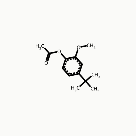 COc1cc(C(C)(C)C)ccc1OC(C)=O